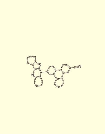 N#Cc1ccc2c3ccc(-c4c5ccccc5nc5c4sc4ccccc45)cc3c3ccccc3c2c1